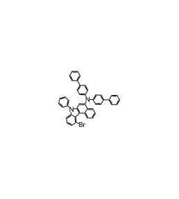 Brc1cccc2c1c1c3ccccc3c(N(c3ccc(-c4ccccc4)cc3)c3ccc(-c4ccccc4)cc3)cc1n2-c1ccccc1